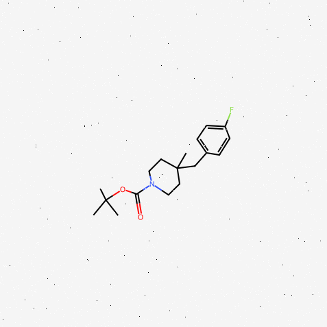 CC1(Cc2ccc(F)cc2)CCN(C(=O)OC(C)(C)C)CC1